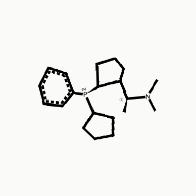 C[C@@H](C1CCCC1[P@](c1ccccc1)C1CCCC1)N(C)C